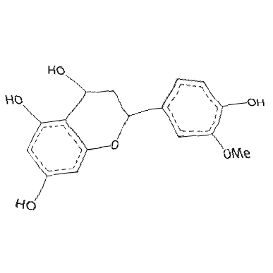 COc1cc(C2CC(O)c3c(O)cc(O)cc3O2)ccc1O